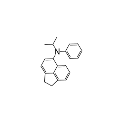 CC(C)N(c1ccccc1)c1ccc2c3c(cccc13)CC2